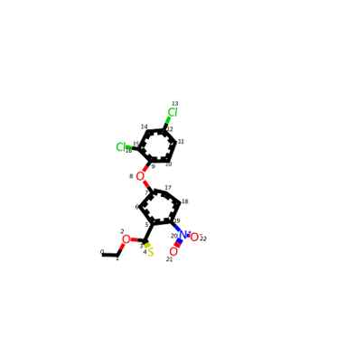 CCOC(=S)c1cc(Oc2ccc(Cl)cc2Cl)ccc1[N+](=O)[O-]